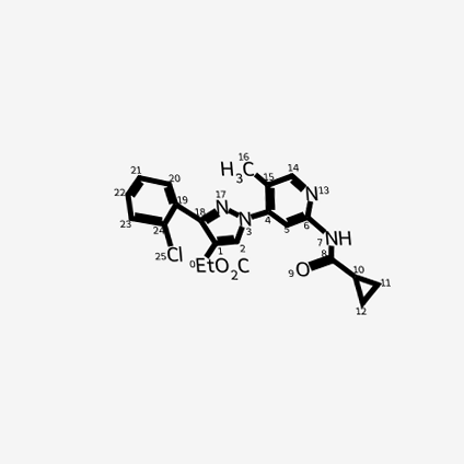 CCOC(=O)c1cn(-c2cc(NC(=O)C3CC3)ncc2C)nc1-c1ccccc1Cl